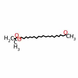 C=C(C)C(=O)OCCCCCCCCCCCCCCCCCCCCC(C)=O